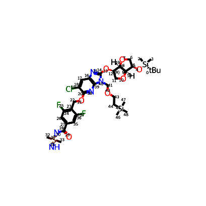 CC(C)(C)[Si](C)(C)O[C@@H]1CO[C@H]2[C@@H]1OC[C@H]2Oc1nc2cc(Cl)c(OCc3c(F)cc(C(=O)N=S(C)(C)=N)cc3F)nc2n1COCC[Si](C)(C)C